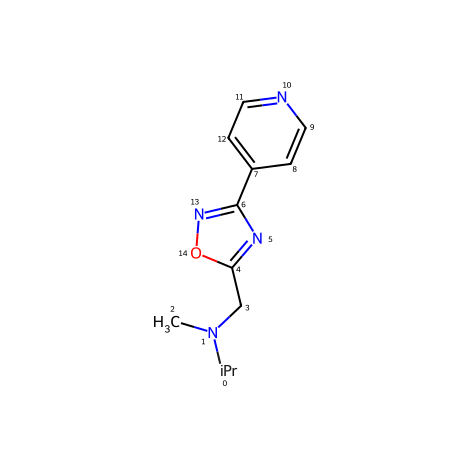 CC(C)N(C)Cc1nc(-c2ccncc2)no1